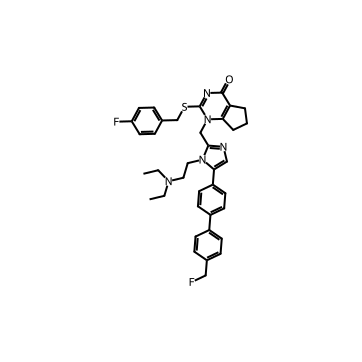 CCN(CC)CCn1c(-c2ccc(-c3ccc(CF)cc3)cc2)cnc1Cn1c(SCc2ccc(F)cc2)nc(=O)c2c1CCC2